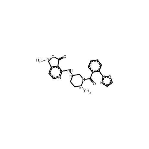 C[C@@H]1OC(=O)c2c1ccnc2N[C@@H]1CC[C@@H](C)N(C(=O)c2ccccc2-n2nccn2)C1